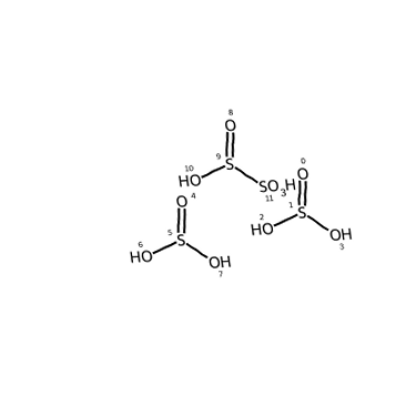 O=S(O)O.O=S(O)O.O=S(O)S(=O)(=O)O